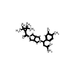 Cc1ccc(C(CC(N)=O)N2CC3CN(C(=O)C4C(C)(C)C4(C)C)CC3C2)cc1Cl